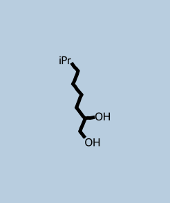 CC(C)CCCCC(O)CO